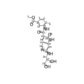 COC(=O)c1ccc(C)c(NC(=O)c2cc3cnc(NCC(O)CO)cc3[nH]c2=O)c1